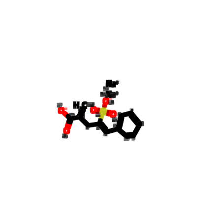 C=C(CC(=Cc1ccccc1)S(=O)(=O)[O-])C(=O)[O-].[Na+].[Na+]